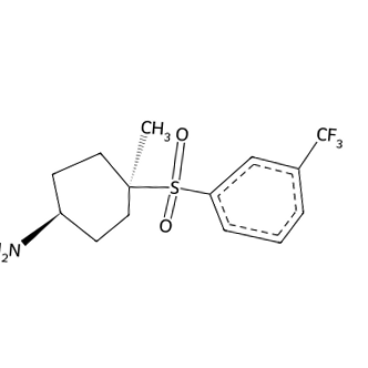 C[C@]1(S(=O)(=O)c2cccc(C(F)(F)F)c2)CC[C@@H](N)CC1